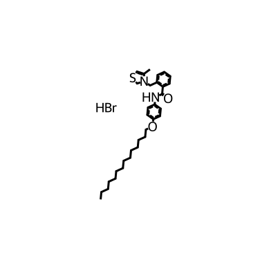 Br.CCCCCCCCCCCCCCOc1ccc(NC(=O)c2ccccc2CN2CSC=C2C)cc1